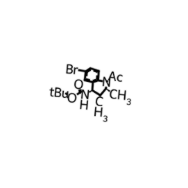 CC(=O)N1c2ccc(Br)cc2[C@H](NC(=O)OC(C)(C)C)[C@@H](C)[C@@H]1C